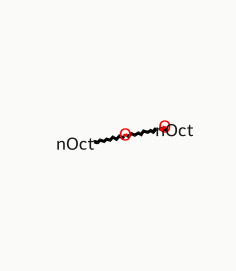 C1CO1.CCCCCCCCC=CCCCCCCCCOCCCCCCCCC=CCCCCCCCC